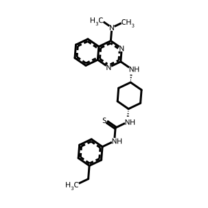 CCc1cccc(NC(=S)N[C@H]2CC[C@@H](Nc3nc(N(C)C)c4ccccc4n3)CC2)c1